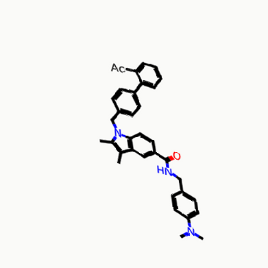 CC(=O)c1ccccc1-c1ccc(Cn2c(C)c(C)c3cc(C(=O)NCc4ccc(N(C)C)cc4)ccc32)cc1